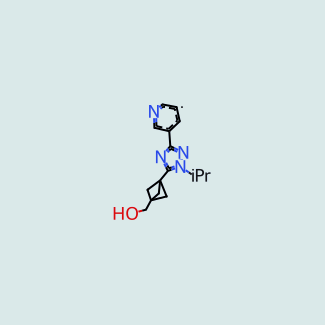 CC(C)n1nc(-c2c[c]cnc2)nc1C12CC(CO)(C1)C2